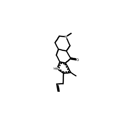 C=CCc1[nH]c2c(c1C)C(=O)C1CN(C)CCC1C2